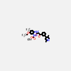 Cc1cc(-c2cccc(C(=O)CC(=O)Nc3cc(C(F)(F)F)c(OCC(F)(F)F)cc3NC(=O)OC(C)(C)C)c2)c(C)cn1